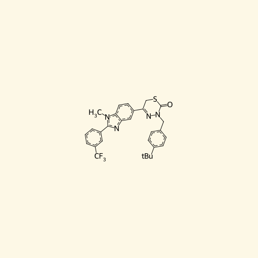 Cn1c(-c2cccc(C(F)(F)F)c2)nc2cc(C3=NN(Cc4ccc(C(C)(C)C)cc4)C(=O)SC3)ccc21